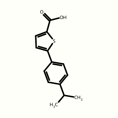 CC(C)c1ccc(-c2ccc(C(=O)O)s2)cc1